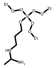 CCOO[Si](OCCCNC(C)N)(OOCC)OOCC